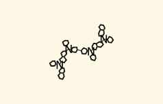 c1ccc(N(c2ccc(-c3ccc(N(c4ccccc4)c4ccc5cc(N(c6ccccc6)c6ccc7ccccc7c6)ccc5c4)cc3)cc2)c2ccc3cc(N(c4ccccc4)c4ccc5ccccc5c4)ccc3c2)cc1